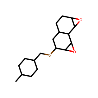 CC1CCC(CSC2CC3CCC4OC4C3C3OC23)CC1